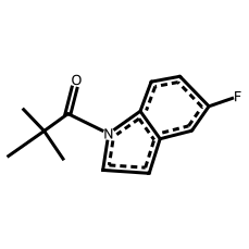 CC(C)(C)C(=O)n1ccc2cc(F)ccc21